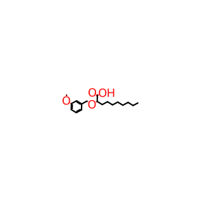 CCCCCCCCC(OCc1cccc(OC)c1)C(=O)O